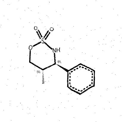 C[C@@H]1COS(=O)(=O)N[C@H]1c1ccccc1